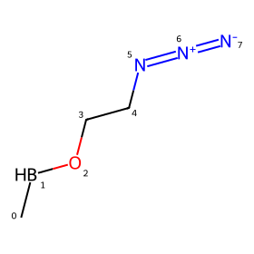 CBOCCN=[N+]=[N-]